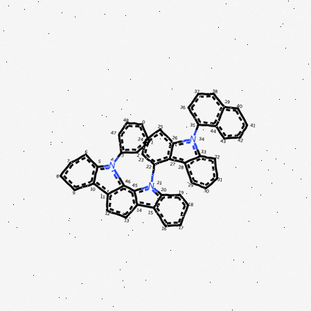 c1ccc(-n2c3ccccc3c3ccc4c5ccccc5n(-c5cccc6c5c5ccccc5n6-c5cccc6ccccc56)c4c32)cc1